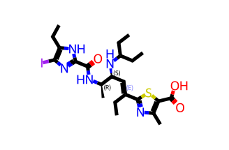 CC/C(=C\[C@H](NC(CC)CC)[C@@H](C)NC(=O)c1nc(I)c(CC)[nH]1)c1nc(C)c(C(=O)O)s1